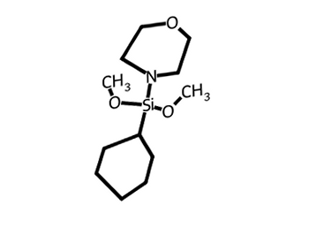 CO[Si](OC)(C1CCCCC1)N1CCOCC1